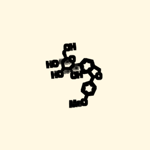 COc1ccc(C2OCc3ccc([C@@H]4O[C@H](CO)[C@@H](O)[C@H](O)[C@H]4O)cc32)cc1